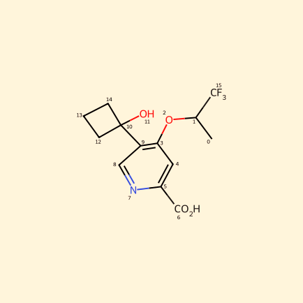 CC(Oc1cc(C(=O)O)ncc1C1(O)CCC1)C(F)(F)F